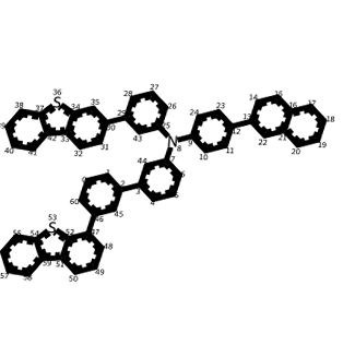 c1cc(-c2cccc(N(c3ccc(-c4ccc5ccccc5c4)cc3)c3cccc(-c4ccc5c(c4)sc4ccccc45)c3)c2)cc(-c2cccc3c2sc2ccccc23)c1